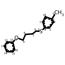 Cc1ccc(SCCCCOc2ccccc2)cc1